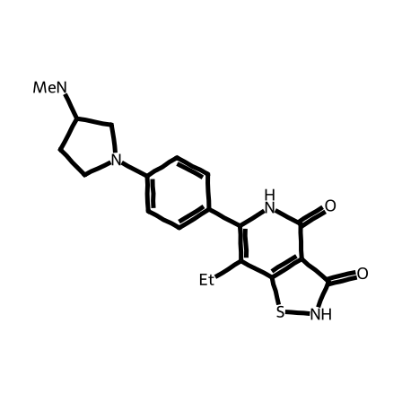 CCc1c(-c2ccc(N3CCC(NC)C3)cc2)[nH]c(=O)c2c(=O)[nH]sc12